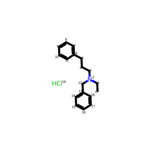 CCN(CCCc1ccccc1)Cc1ccccc1.Cl